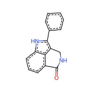 O=C1NCc2c(-c3ccccc3)[nH]c3cccc1c23